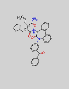 C=CC[C@H](C(N)=O)[C@@H](CC1CCCC1)C(=O)NC1C(=O)N(c2cccc(C(=O)c3ccccc3)c2)c2ccccc2-c2ccccc21